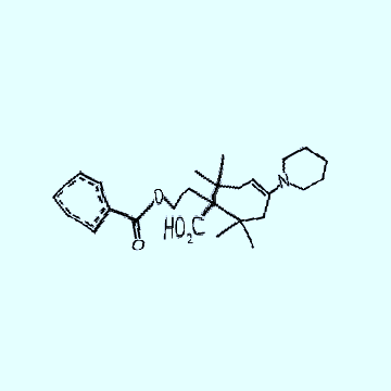 CC1(C)C=C(N2CCCCC2)CC(C)(C)C1(CCOC(=O)c1ccccc1)C(=O)O